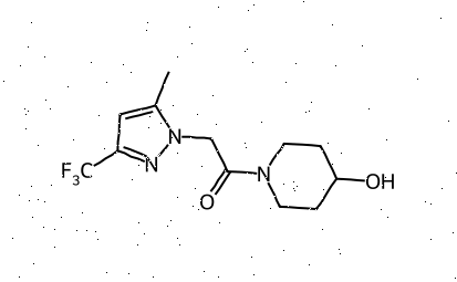 Cc1cc(C(F)(F)F)nn1CC(=O)N1CCC(O)CC1